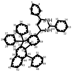 C1=C(c2ccccc2)NC(c2ccccc2)NC1c1ccc2c(c1)C(c1ccccc1)(c1ccccc1)c1cc3ccccc3c(-c3ccccc3)c1-2